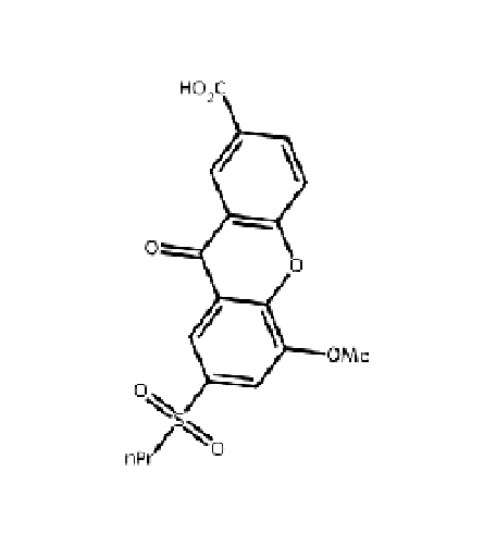 CCCS(=O)(=O)c1cc(OC)c2oc3ccc(C(=O)O)cc3c(=O)c2c1